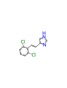 Clc1cccc(Cl)c1C=Cc1c[nH]cn1